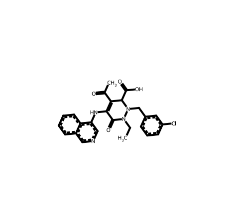 CCN1C(=O)C(Nc2cncc3ccccc23)=C(C(C)=O)C(C(=O)O)N1Cc1cccc(Cl)c1